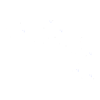 CCc1ccc(-c2ncnc3cc(N4CCOCC4)ccc23)cc1C1C(=O)Nc2cncnc21